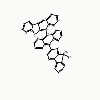 CC1(C)c2ccccc2-c2ccc(-c3c4ccccc4c(-c4c5ccccc5cc5c4oc4ccccc45)c4ccccc34)cc21